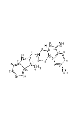 Cn1c(CN2CCN(c3cc(C(F)(F)F)ccc3C(=N)N)CC2)nc2ccccc21